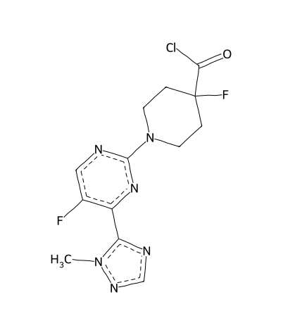 Cn1ncnc1-c1nc(N2CCC(F)(C(=O)Cl)CC2)ncc1F